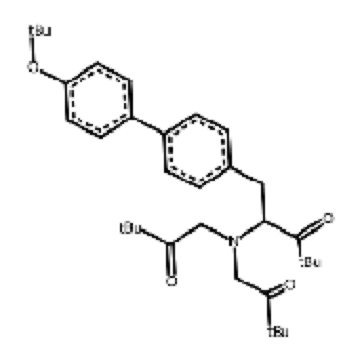 CC(C)(C)Oc1ccc(-c2ccc(CC(C(=O)C(C)(C)C)N(CC(=O)C(C)(C)C)CC(=O)C(C)(C)C)cc2)cc1